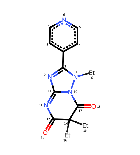 CCN1C(c2ccncc2)=NC2=NC(=O)C(CC)(CC)C(=O)N21